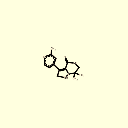 Cc1cc(C2=C3C(=O)NCC(C)(C)N3NC2)ccn1